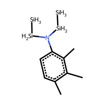 Cc1ccc(N([SiH2][SiH3])[SiH2][SiH3])c(C)c1C